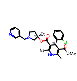 CCC1=C(C(=O)O[C@@]2(CC)CCN(Cc3cccnc3)C2)[C@@H](c2ccccc2Cl)C(C(=O)OC)=C(C)N1